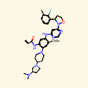 C=CC(=O)Nc1cc(Nc2cc(N3OCCC3c3cccc(C)c3F)ncn2)c(OC)cc1N1CCC(N2CCC(N(C)C)C2)CC1